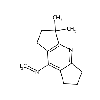 C=Nc1c2c(nc3c1CCC3(C)C)CCC2